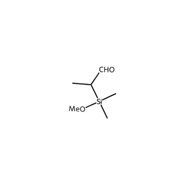 CO[Si](C)(C)C(C)C=O